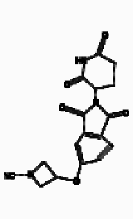 N#CB1CC(Oc2ccc3c(c2)C(=O)N(C2CCC(=O)NC2=O)C3=O)C1